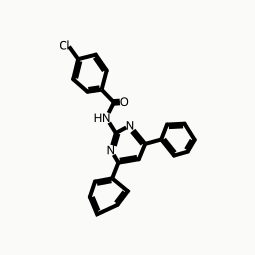 O=C(Nc1nc(-c2ccccc2)cc(-c2ccccc2)n1)c1ccc(Cl)cc1